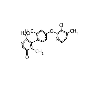 Cc1cc(Oc2nccc(C)c2Cl)ccc1-c1c(C)ncc(=O)n1C